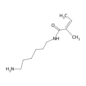 CC=C(C)C(=O)NCCCCCCN